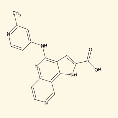 Cc1cc(Nc2nc3ccncc3c3[nH]c(C(=O)O)cc23)ccn1